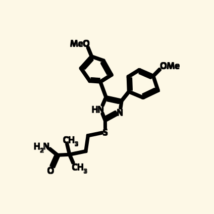 COc1ccc(-c2nc(SCCC(C)(C)C(N)=O)[nH]c2-c2ccc(OC)cc2)cc1